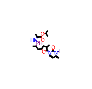 C=C1C=CN(C2OC(CC(C)PNC(C)C(=O)OC(C)C)CC2C)C(=O)N1I